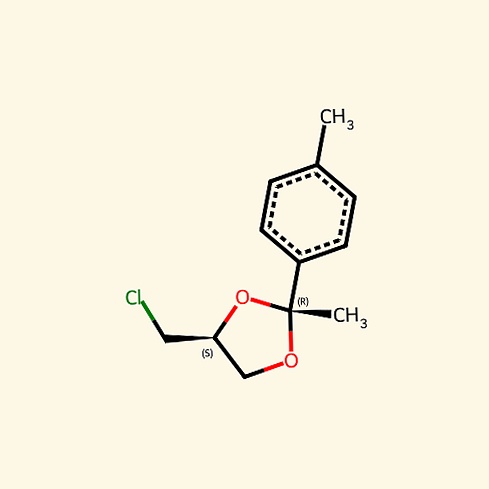 Cc1ccc([C@]2(C)OC[C@@H](CCl)O2)cc1